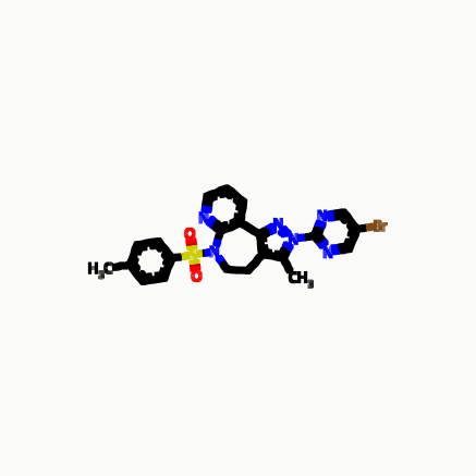 Cc1ccc(S(=O)(=O)N2CCc3c(nn(-c4ncc(Br)cn4)c3C)-c3cccnc32)cc1